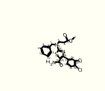 COC(=O)CCN(Cc1ccccc1)c1nc(-c2ccc(Cl)c(Cl)c2)c(C(N)=O)s1